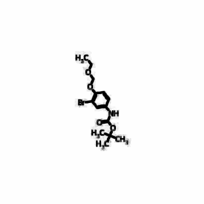 CCOCOc1ccc(NC(=O)OC(C)(C)C)cc1Br